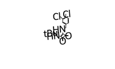 CC(C)(C)Nc1c(NCc2ccc(Cl)c(Cl)c2)c(=O)c1=O